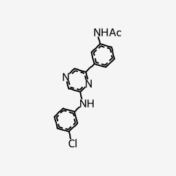 CC(=O)Nc1cccc(-c2cncc(Nc3cccc(Cl)c3)n2)c1